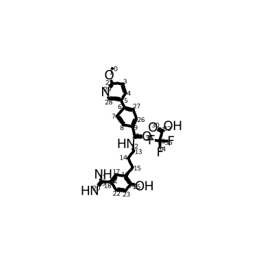 COc1ccc(-c2ccc(C(=O)NCCCc3cc(C(=N)N)ccc3O)cc2)cn1.O=C(O)C(F)(F)F